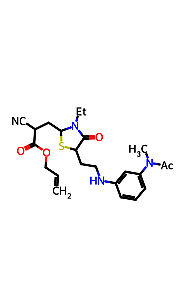 C=CCOC(=O)C(C#N)CC1SC(CCNc2cccc(N(C)C(C)=O)c2)C(=O)N1CC